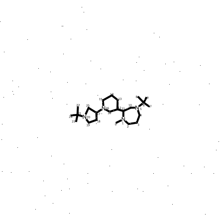 CN1CCCN(C(C)(C)C)CC1C1CCCN(C2CCN(C(C)(C)C)C2)C1